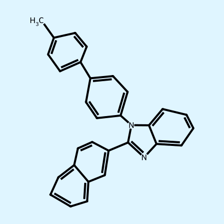 Cc1ccc(-c2ccc(-n3c(-c4ccc5ccccc5c4)nc4ccccc43)cc2)cc1